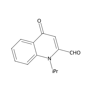 CC(C)n1c(C=O)cc(=O)c2ccccc21